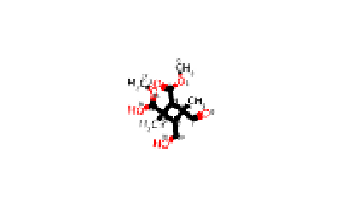 COC(=O)C1C(C)(C=O)C(CO)C1(C)C(O)OC